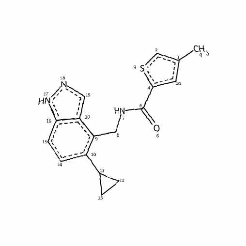 Cc1csc(C(=O)NCc2c(C3CC3)ccc3[nH]ncc23)c1